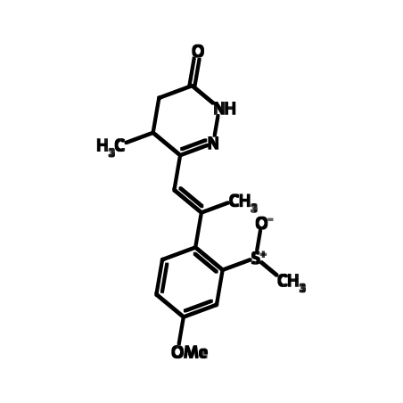 COc1ccc(C(C)=CC2=NNC(=O)CC2C)c([S+](C)[O-])c1